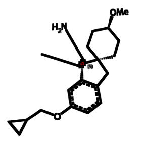 CO[C@H]1CC[C@]2(CC1)Cc1ccc(OCC3CC3)cc1[C@]21N=C(C)C(N)=N1